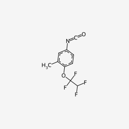 Cc1cc(N=C=O)ccc1OC(F)(F)C(F)F